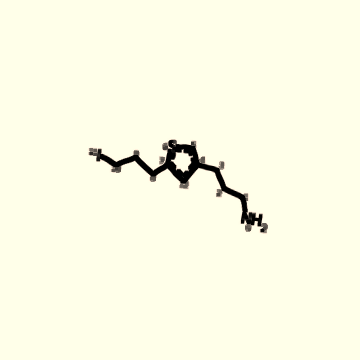 NCCCc1csc(CCCI)c1